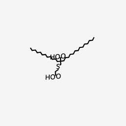 CCCCCCCCCCCCCCC(CCCCCCCCCCCC)(CSCCC(=O)O)C(=O)O